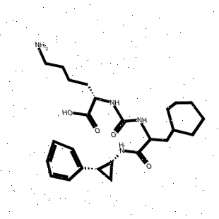 NCCCC[C@H](NC(=O)NC(CC1CCCCC1)C(=O)N[C@@H]1C[C@@H]1c1ccccc1)C(=O)O